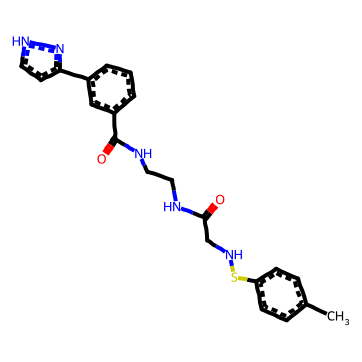 Cc1ccc(SNCC(=O)NCCNC(=O)c2cccc(-c3cc[nH]n3)c2)cc1